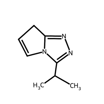 CC(C)c1nnc2n1C=CC2